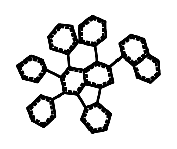 c1ccc(-c2c(-c3ccccc3)c(-c3ccccc3)c3c(-c4ccccc4)c(-c4cccc5ccccc45)cc4c3c2-c2ccccc2-4)cc1